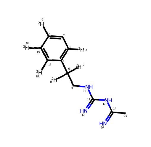 [2H]c1cc([2H])c(C([2H])([2H])CNC(=N)NC(C)=N)c([2H])c1[2H]